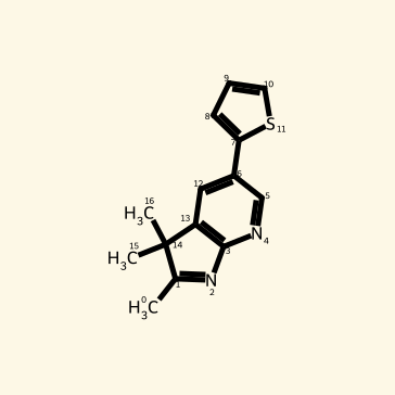 CC1=Nc2ncc(-c3cccs3)cc2C1(C)C